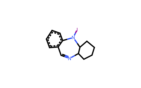 IN1c2ccccc2C=NC2CCCCC21